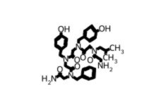 CC(C)CN(CC(=O)N(CC(=O)N(CC(=O)N(CC(N)=O)Cc1ccccc1)Cc1ccc(O)cc1)Cc1ccc(O)cc1)C(=O)CN